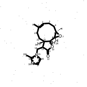 C/C1=C/CC[C@@]2(C)O[C@H]2[C@H]2OC(=O)C(Cn3ccnc3I)[C@@H]2CC1